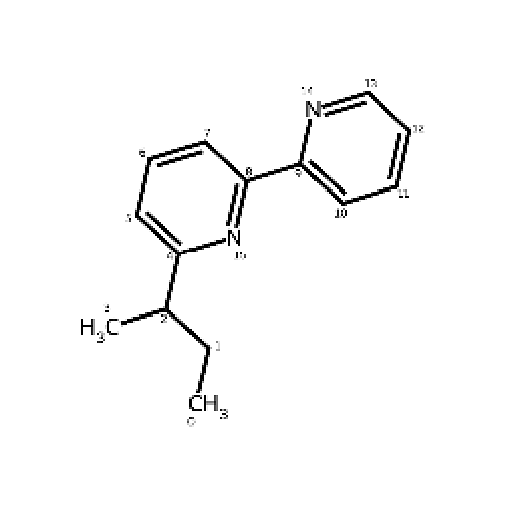 CCC(C)c1cccc(-c2ccccn2)n1